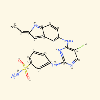 N#CC=C1C=c2cc(Nc3nc(Nc4cccc(S(N)(=O)=O)c4)ncc3F)ccc2=N1